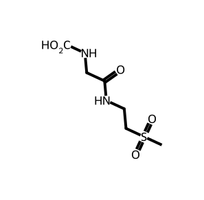 CS(=O)(=O)CCNC(=O)CNC(=O)O